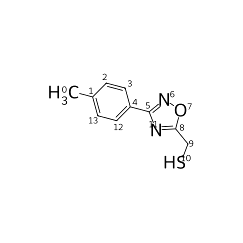 Cc1ccc(-c2noc(CS)n2)cc1